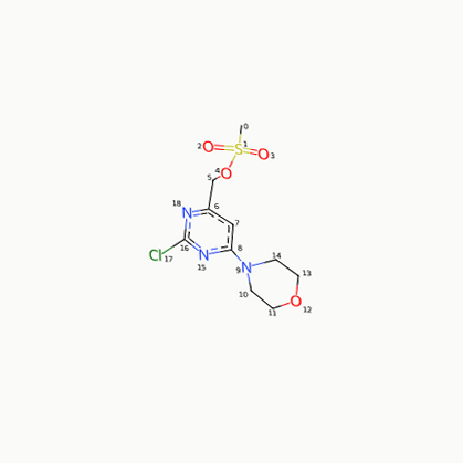 CS(=O)(=O)OCc1cc(N2CCOCC2)nc(Cl)n1